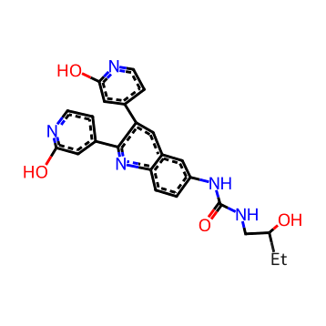 CCC(O)CNC(=O)Nc1ccc2nc(-c3ccnc(O)c3)c(-c3ccnc(O)c3)cc2c1